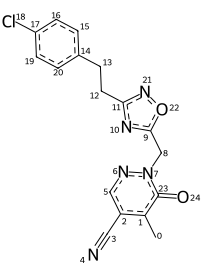 Cc1c(C#N)cnn(Cc2nc(CCc3ccc(Cl)cc3)no2)c1=O